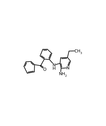 CCc1cnc(N)c(Nc2ccccc2C(=O)c2ccccc2)c1